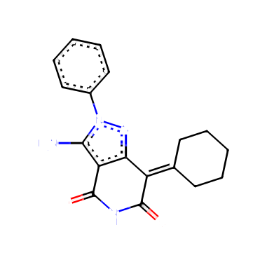 Nc1c2c(nn1-c1ccccc1)C(=C1CCCCC1)C(=O)NC2=O